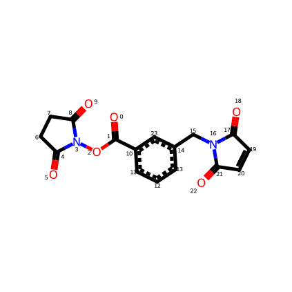 O=C(ON1C(=O)CCC1=O)c1cccc(CN2C(=O)C=CC2=O)c1